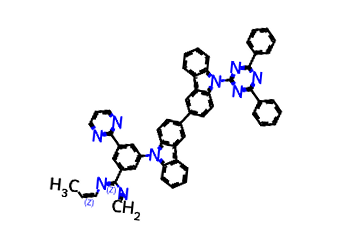 C=N/C(=N\C=C/C)c1cc(-c2ncccn2)cc(-n2c3ccccc3c3cc(-c4ccc5c(c4)c4ccccc4n5-c4nc(-c5ccccc5)nc(-c5ccccc5)n4)ccc32)c1